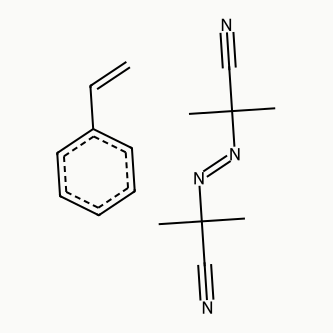 C=Cc1ccccc1.CC(C)(C#N)N=NC(C)(C)C#N